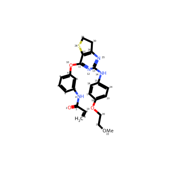 C=CC(=O)Nc1cccc(Oc2nc(Nc3ccc(OCCOC)cc3)nc3c2SCC3)c1